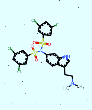 CN(C)CCc1c[nH]c2cc(N(S(=O)(=O)c3cc(Cl)cc(Cl)c3)S(=O)(=O)c3cc(Cl)cc(Cl)c3)ccc12